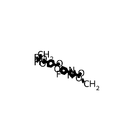 C=CCOC(=O)c1cnc(-c2ccc(OC(=O)C3CCC(C(=O)OC(=C)C(F)(F)F)CC3)c(F)c2)nc1